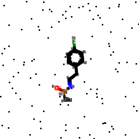 CC(C)(C)[S@@+]([O-])N=CCc1ccc(F)cc1